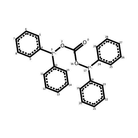 O=C(O[I+](c1ccccc1)c1ccccc1)O[I+](c1ccccc1)c1ccccc1